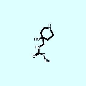 CC(C)(C)OC(=O)NCC1(O)CCNCC1